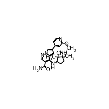 COc1cc(-c2cc3c(N[C@@H]4CC[C@](C)(N)C4(C)C)c(C(N)=O)cnn3c2)ccn1